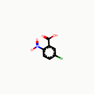 O=C(O)c1cc(Br)ccc1[N+](=O)[O-]